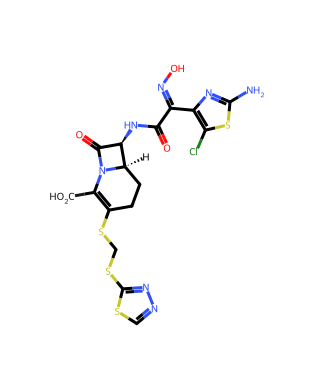 Nc1nc(C(=NO)C(=O)N[C@@H]2C(=O)N3C(C(=O)O)=C(SCSc4nncs4)CC[C@H]23)c(Cl)s1